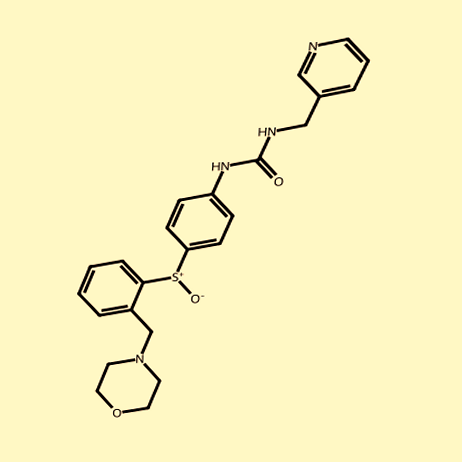 O=C(NCc1cccnc1)Nc1ccc([S+]([O-])c2ccccc2CN2CCOCC2)cc1